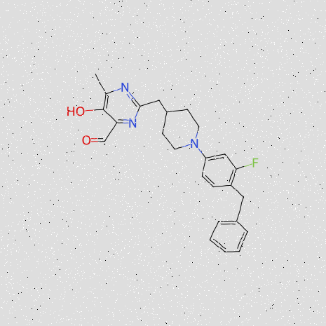 Cc1nc(CC2CCN(c3ccc(Cc4ccccc4)c(F)c3)CC2)nc([C]=O)c1O